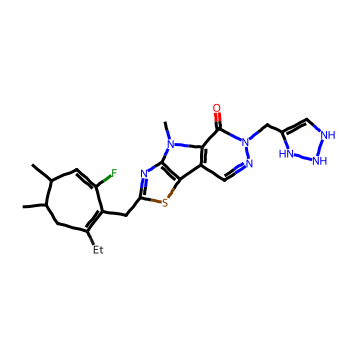 CCC1=C(Cc2nc3c(s2)c2cnn(CC4=CNNN4)c(=O)c2n3C)C(F)=CC(C)C(C)C1